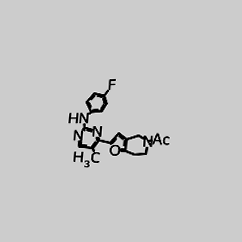 CC(=O)N1CCc2oc(-c3nc(Nc4ccc(F)cc4)ncc3C)cc2C1